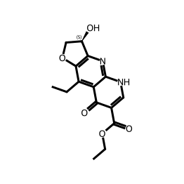 CCOC(=O)c1c[nH]c2nc3c(c(CC)c2c1=O)OC[C@H]3O